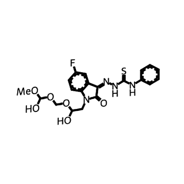 COC(O)OCOC(O)CN1C(=O)/C(=N\NC(=S)Nc2ccccc2)c2cc(F)ccc21